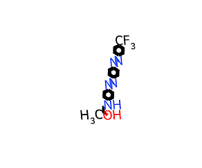 CC(O)CNc1ccc(N=Nc2ccc(N=Nc3ccc(C(F)(F)F)cc3)cc2)cc1